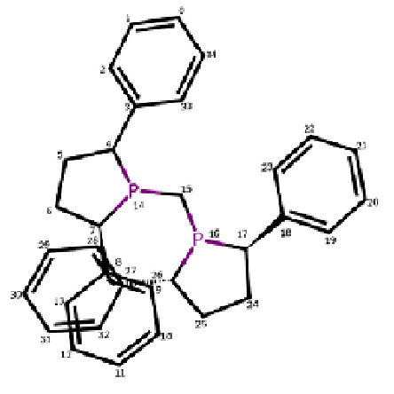 c1ccc(C2CC[C@H](c3ccccc3)P2CP2[C@@H](c3ccccc3)CC[C@@H]2c2ccccc2)cc1